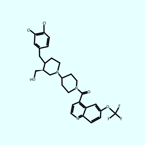 O=C(c1ccnc2ccc(OC(F)(F)F)cc12)N1CCC(N2CCC(Cc3ccc(Cl)c(Cl)c3)[C@H](CO)C2)CC1